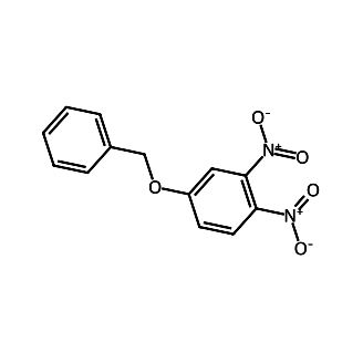 O=[N+]([O-])c1ccc(OCc2ccccc2)cc1[N+](=O)[O-]